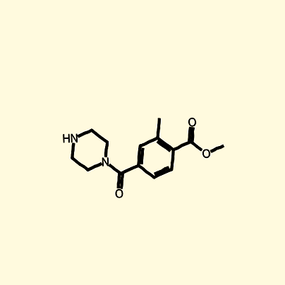 COC(=O)c1ccc(C(=O)N2CCNCC2)cc1C